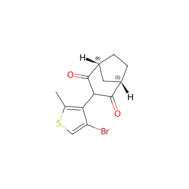 Cc1scc(Br)c1C1C(=O)[C@@H]2CC[C@@H](C2)C1=O